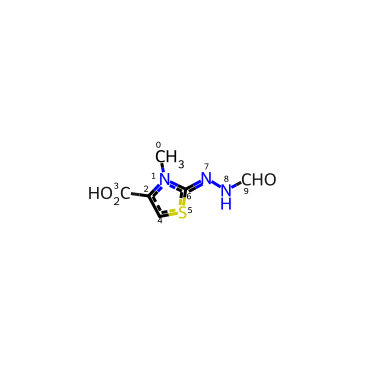 Cn1c(C(=O)O)csc1=NNC=O